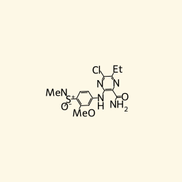 CCc1nc(C(N)=O)c(Nc2ccc([S+]([O-])NC)c(OC)c2)nc1Cl